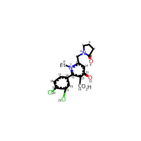 CCn1c(CN2CCCC2=O)cc(=O)c(C(=O)O)c1-c1ccc(Cl)c(Cl)c1